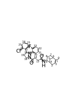 CC1=CCC2CC1CCC2NC(=O)CCC(=O)N1CCC(c2ccccc2Cl)N1c1ccccc1F